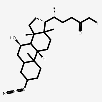 C[C@H](CCC(=O)CF)[C@H]1CC[C@H]2C3[C@H](O)CC4CC(N=[N+]=[N-])CCC4(C)[C@H]3CCC12C